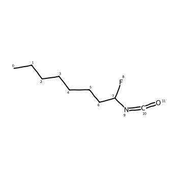 CCCCCCCC(F)N=C=O